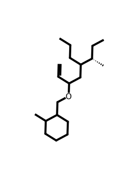 C=CC(CC(CCC)[C@@H](C)CC)OCC1CCCCC1C